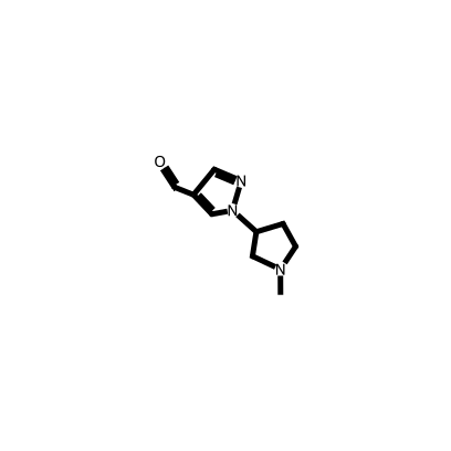 CN1CCC(n2cc([C]=O)cn2)C1